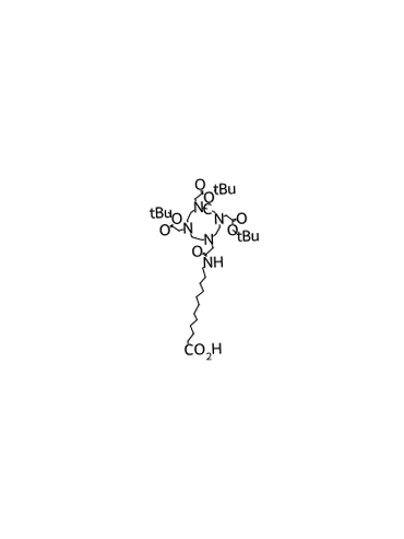 CC(C)(C)OC(=O)CN1CCN(CC(=O)NCCCCCCCCCCCC(=O)O)CCN(CC(=O)OC(C)(C)C)CCN(CC(=O)OC(C)(C)C)CC1